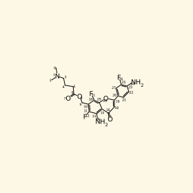 CN(C)CCCC(=O)OCc1c(F)c(N)c2c(=O)cc(-c3ccc(N)c(F)c3)oc2c1F